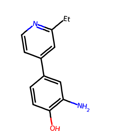 CCc1cc(-c2ccc(O)c(N)c2)ccn1